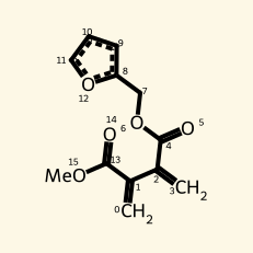 C=C(C(=C)C(=O)OCc1ccco1)C(=O)OC